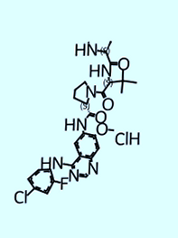 CN[C@@H](C)C(=O)N[C@H](C(=O)N1CCC[C@H]1C(=O)Nc1cc2c(Nc3ccc(Cl)cc3F)ncnc2cc1OC)C(C)(C)C.Cl